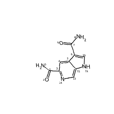 NC(=O)c1cc2c(C(N)=O)c[nH]c2cn1